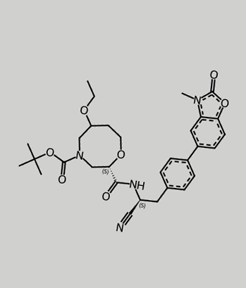 CCOC1CCO[C@H](C(=O)N[C@H](C#N)Cc2ccc(-c3ccc4oc(=O)n(C)c4c3)cc2)CN(C(=O)OC(C)(C)C)C1